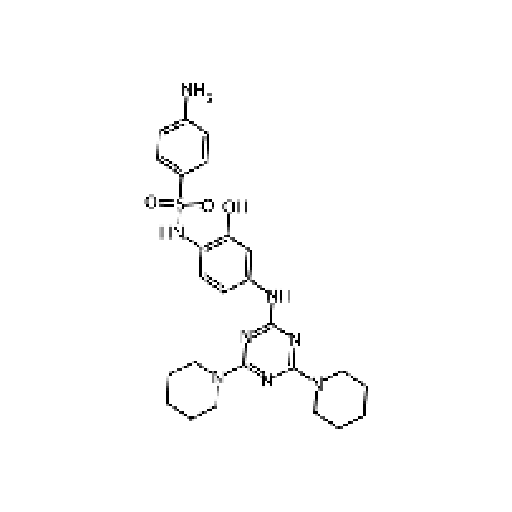 Nc1ccc(S(=O)(=O)Nc2ccc(Nc3nc(N4CCCCC4)nc(N4CCCCC4)n3)cc2O)cc1